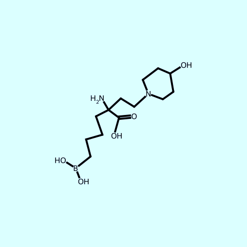 NC(CCCCB(O)O)(CCN1CCC(O)CC1)C(=O)O